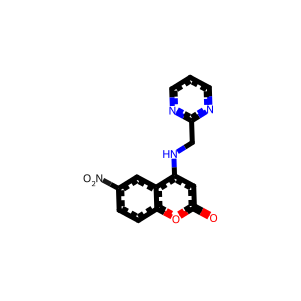 O=c1cc(NCc2ncccn2)c2cc([N+](=O)[O-])ccc2o1